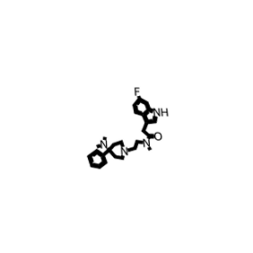 CN(CCN1CCC(c2ccccc2)(N(C)C)CC1)C(=O)Cc1c[nH]c2cc(F)ccc12